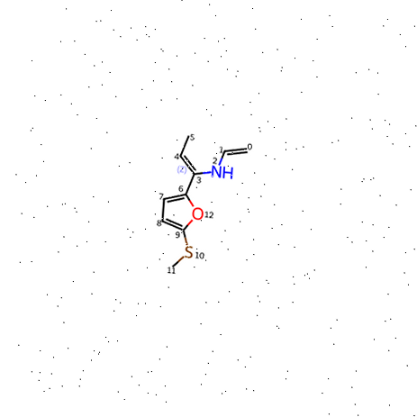 C=CN/C(=C\C)c1ccc(SC)o1